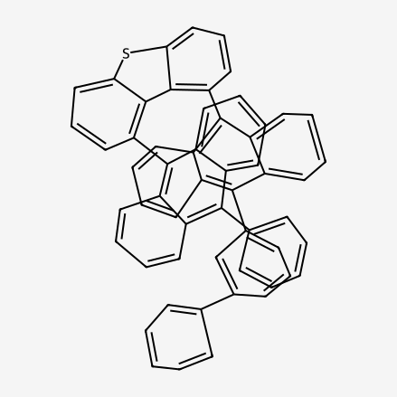 c1ccc(-c2cccc(-c3c4ccccc4c(-c4cccc5sc6cccc(-c7c8ccccc8c(-c8ccccc8)c8ccccc78)c6c45)c4ccccc34)c2)cc1